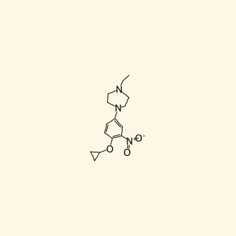 CCN1CCN(c2ccc(OC3CC3)c([N+](=O)[O-])c2)CC1